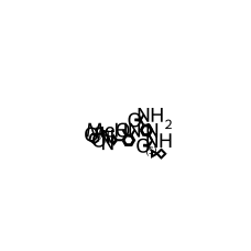 COc1c(Nc2cc(NC(=O)[C@H]3CC34CCC4)ncc2C(N)=O)cccc1-c1cnn([C@@H]2CCC23OCCO3)c1